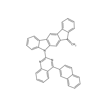 C=C1c2ccccc2-c2cc3c4ccccc4n(-c4nc(-c5ccc6ccccc6c5)c5ccccc5n4)c3cc21